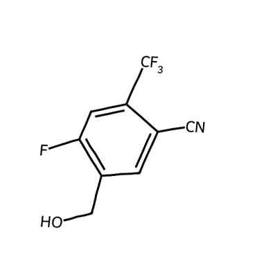 N#Cc1cc(CO)c(F)cc1C(F)(F)F